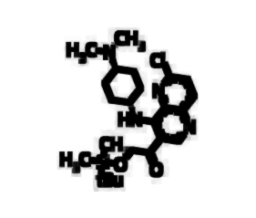 CN(C)[C@H]1CC[C@H](Nc2c(C(=O)CO[Si](C)(C)C(C)(C)C)cnc3ccc(Cl)nc23)CC1